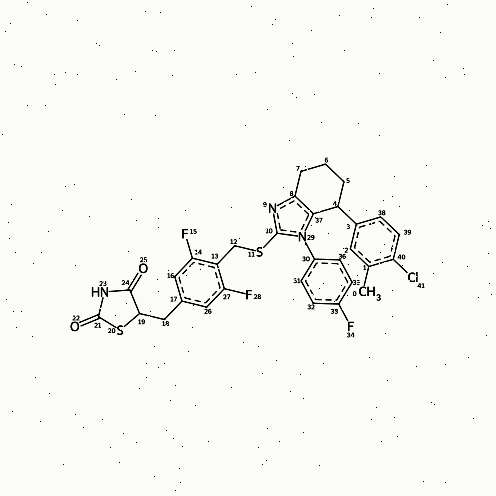 Cc1cc(C2CCCc3nc(SCc4c(F)cc(CC5SC(=O)NC5=O)cc4F)n(-c4ccc(F)cc4)c32)ccc1Cl